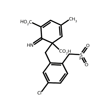 CC1=CC(Cc2cc(Cl)ccc2C[SH](=O)=O)(C(=O)O)C(=N)C(C(=O)O)=C1